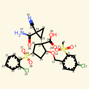 CS(=O)(=O)c1cc(Cl)ccc1CO[C@H]1C[C@@H](S(=O)(=O)c2ccccc2Cl)C[C@]1(C(=O)O)C1CC1(C#N)C(N)=O